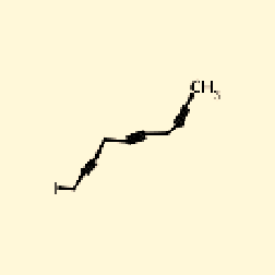 CC#CCC#CCC#CCI